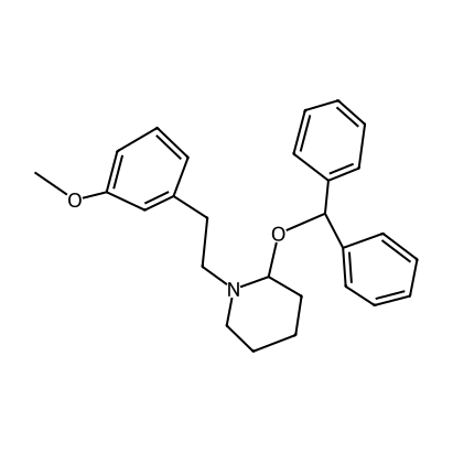 COc1cccc(CCN2CCCCC2OC(c2ccccc2)c2ccccc2)c1